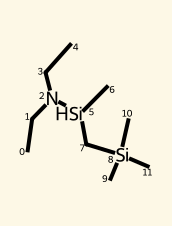 CCN(CC)[SiH](C)C[Si](C)(C)C